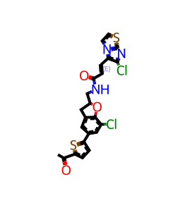 CC(=O)c1ccc(-c2cc(Cl)c3c(c2)CC(CNC(=O)/C=C/c2c(Cl)nc4sccn24)O3)s1